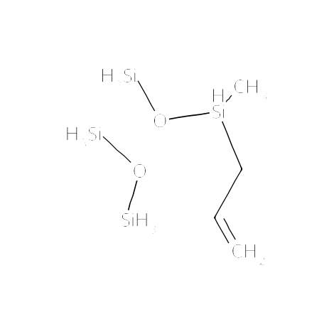 C=CC[SiH](C)O[SiH3].[SiH3]O[SiH3]